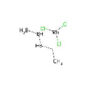 BBBCC.[Cl][Rh]([Cl])[Cl]